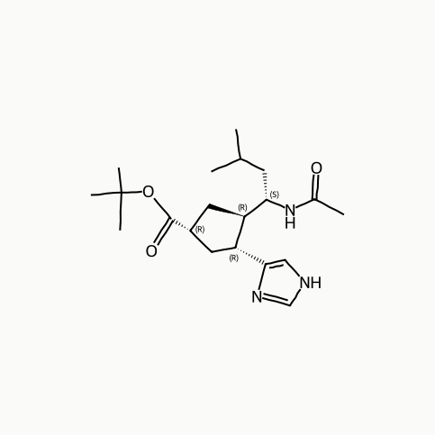 CC(=O)N[C@@H](CC(C)C)[C@@H]1C[C@@H](C(=O)OC(C)(C)C)C[C@H]1c1c[nH]cn1